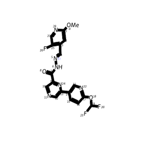 COc1cc(/C=N/NC(=O)c2cncc(-c3ccc(OC(F)F)nc3)n2)c(F)cn1